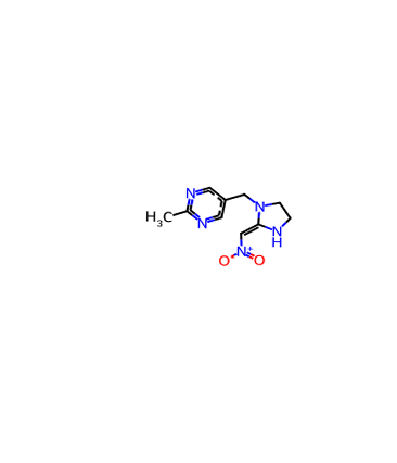 Cc1ncc(CN2CCNC2=C[N+](=O)[O-])cn1